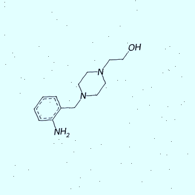 Nc1ccccc1CN1CCN(CCO)CC1